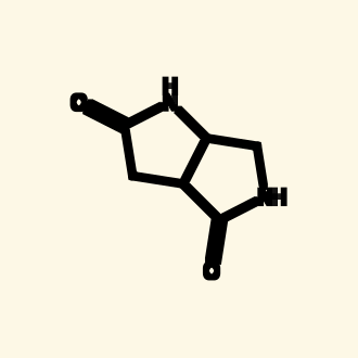 O=C1CC2C(=O)NCC2N1